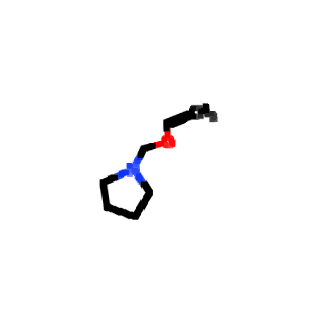 C=COCN1CCCC1